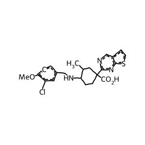 COc1ccc(CNC2CCC(C(=O)O)(c3ncc4ccsc4n3)CC2C)cc1Cl